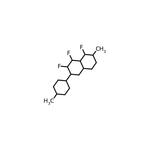 CC1CCC(C2CC3CCC(C)C(F)C3C(F)C2F)CC1